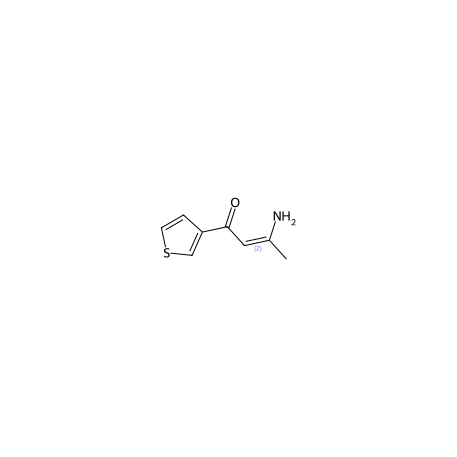 C/C(N)=C/C(=O)c1ccsc1